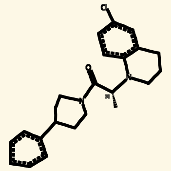 C[C@H](C(=O)N1CCC(c2ccccc2)CC1)N1CCCc2cc(Cl)ccc21